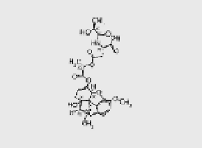 COc1ccc2c3c1O[C@H]1C(OC(=O)[C@H](C)OC(=O)C[C@H](NC(=O)[C@H](C)O)C(=O)O)=CC[C@@]4(O)[C@@H](C2)N(C)CCC314